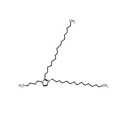 CCCCCCCCCCCCCCCCCc1n(CCCCC)cc[n+]1CCCCCCCCCCCCCCC